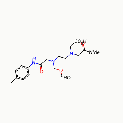 CNC(=O)CN(CCN(COC=O)CC(=O)Nc1ccc(C)cc1)CC(=O)O